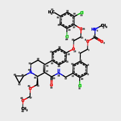 CNC(=O)OCCc1ccc(Cl)c(CNC(=O)C2=C(c3ccc(OCCOc4c(Cl)cc(C)cc4Cl)cc3)CCN(C3CC3)[C@@H]2COCOC)c1